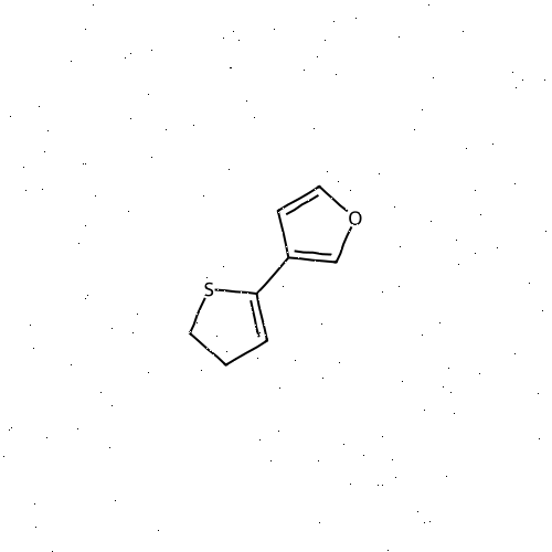 C1=C(c2ccoc2)SCC1